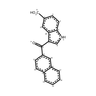 O=C(O)c1ccc2[nH]cc(C(=O)c3ccc4ccccc4c3)c2c1